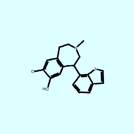 CN1CCc2cc(Cl)c(O)cc2C(c2cccc3ccsc23)C1